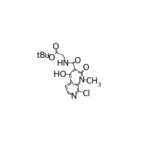 Cn1c(=O)c(C(=O)NCC(=O)OC(C)(C)C)c(O)c2ccnc(Cl)c21